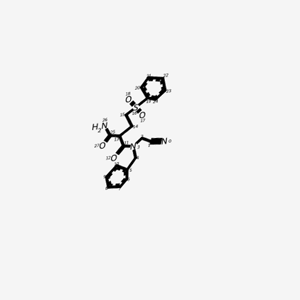 N#CCN(Cc1ccccc1)C(=O)C(CCS(=O)(=O)c1ccccc1)C(N)=O